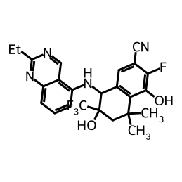 CCc1ncc2c(NC3c4cc(C#N)c(F)c(O)c4C(C)(C)CC3(O)C(F)(F)F)cccc2n1